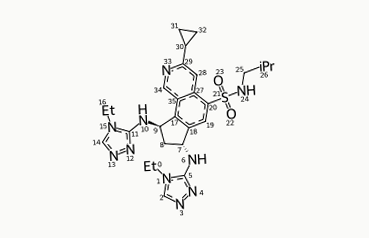 CCn1cnnc1N[C@@H]1C[C@@H](Nc2nncn2CC)c2c1cc(S(=O)(=O)NCC(C)C)c1cc(C3CC3)ncc21